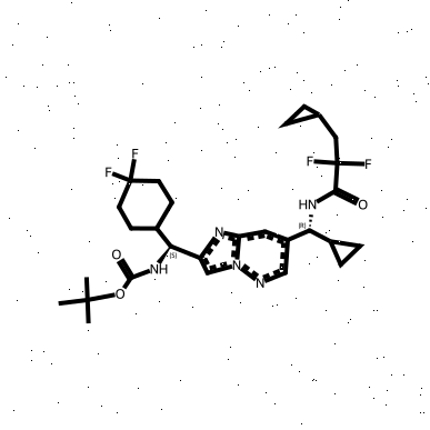 CC(C)(C)OC(=O)N[C@H](c1cn2ncc([C@H](NC(=O)C(F)(F)CC3CC3)C3CC3)cc2n1)C1CCC(F)(F)CC1